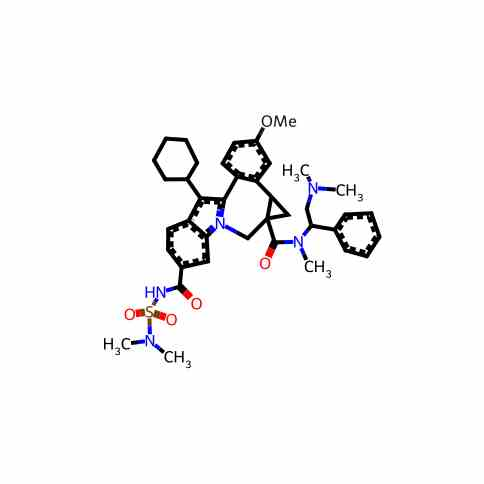 COc1ccc2c(c1)C1CC1(C(=O)N(C)C(CN(C)C)c1ccccc1)Cn1c-2c(C2CCCCC2)c2ccc(C(=O)NS(=O)(=O)N(C)C)cc21